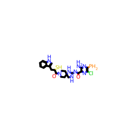 Nc1nc(P)c(Cl)nc1C(=O)/N=C1\NCC2(CCN(C(=O)C(S)Cc3c[nH]c4ccccc34)CC2)N1